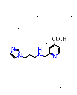 O=C(O)c1ccnc(CNCCCn2ccnc2)c1